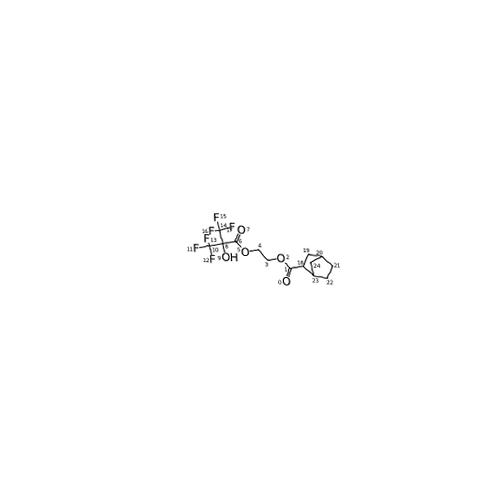 O=C(OCCOC(=O)C(O)(C(F)(F)F)C(F)(F)F)C1CC2CCC1C2